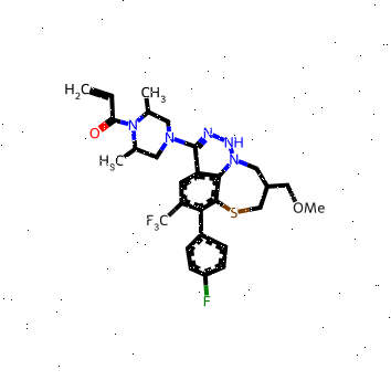 C=CC(=O)N1C(C)CN(C2=NNN3CC(COC)CSc4c(-c5ccc(F)cc5)c(C(F)(F)F)cc2c43)CC1C